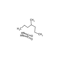 CCCC(C)CCC.N=C=O.N=C=O